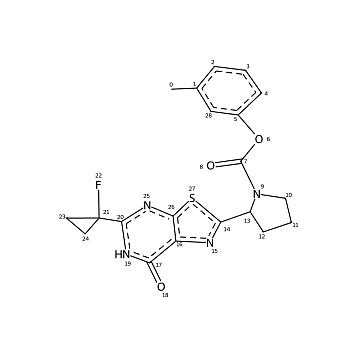 Cc1cccc(OC(=O)N2CCCC2c2nc3c(=O)[nH]c(C4(F)CC4)nc3s2)c1